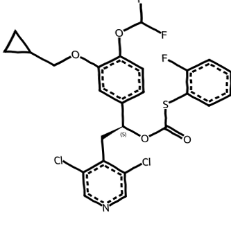 O=C(O[C@@H](Cc1c(Cl)cncc1Cl)c1ccc(OC(F)F)c(OCC2CC2)c1)Sc1ccccc1F